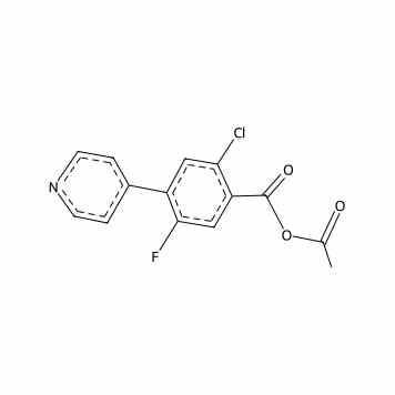 CC(=O)OC(=O)c1cc(F)c(-c2ccncc2)cc1Cl